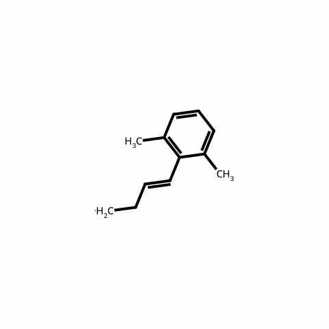 [CH2]CC=Cc1c(C)cccc1C